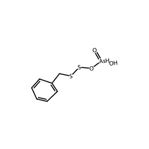 O=[AsH](O)OSSCc1ccccc1